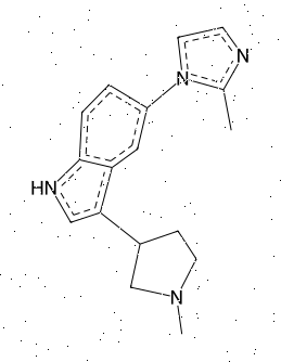 Cc1nccn1-c1ccc2[nH]cc(C3CCN(C)C3)c2c1